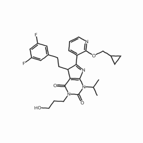 CC(C)n1c2c(c(=O)n(CCCO)c1=O)C(CCc1cc(F)cc(F)c1)C(c1cccnc1OCC1CC1)=N2